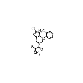 C=C(F)C(=O)N1Cc2sc(Cl)cc2[C@@H](c2ccccc2C)C1